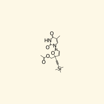 CC(=O)OCC1(C#C[Si](C)(C)C)C=C[C@H](n2cc(C)c(=O)[nH]c2=O)O1